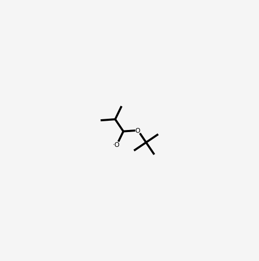 CC(C)C([O])OC(C)(C)C